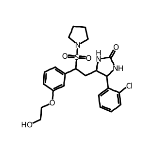 O=C1NC(CC(c2cccc(OCCO)c2)S(=O)(=O)N2CCCC2)C(c2ccccc2Cl)N1